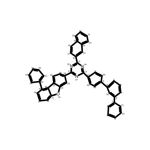 c1ccc(-c2cccc(-c3ccc(-c4nc(-c5ccc6ccccc6c5)nc(-c5ccc6c(c5)oc5cccc(-c7ccccc7)c56)n4)cc3)c2)cc1